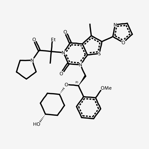 CCC(C)(C(=O)N1CCCC1)n1c(=O)c2c(C)c(-c3ncco3)sc2n(C[C@H](O[C@H]2CC[C@@H](O)CC2)c2ccccc2OC)c1=O